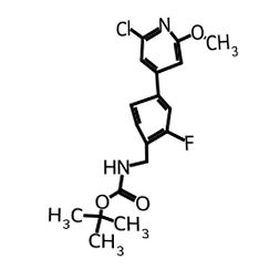 COc1cc(-c2ccc(CNC(=O)OC(C)(C)C)c(F)c2)cc(Cl)n1